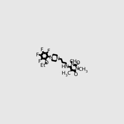 CCOc1c(F)c(F)c(F)c(F)c1N1CCN(CCCNc2c(C)c(=O)n(C)c(=O)n2C)CC1